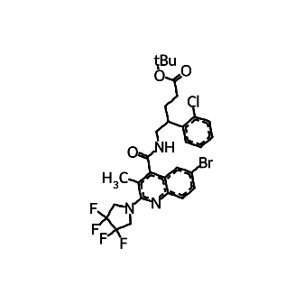 Cc1c(N2CC(F)(F)C(F)(F)C2)nc2ccc(Br)cc2c1C(=O)NCC(CCC(=O)OC(C)(C)C)c1ccccc1Cl